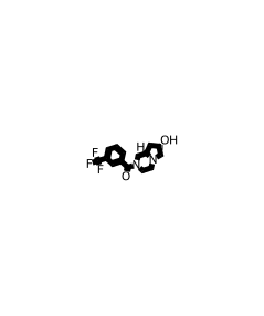 O=C(c1cccc(C(F)(F)F)c1)N1CCN2C[C@H](O)C[C@H]2C1